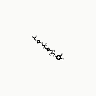 O=C(COc1ccc(Cl)c(F)c1)NC12CC(NC(=O)CO[C@H]3C[C@@H](OC(F)F)C3)(C1)C2